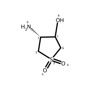 N[C@H]1CS(=O)(=O)CC1O